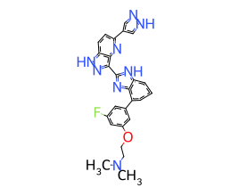 CN(C)CCOc1cc(F)cc(-c2cccc3[nH]c(-c4n[nH]c5ccc(-c6cn[nH]c6)nc45)nc23)c1